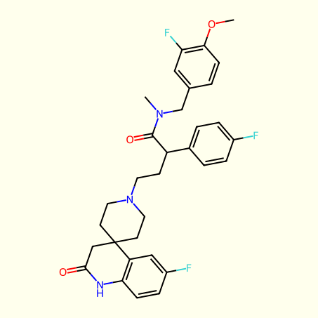 COc1ccc(CN(C)C(=O)C(CCN2CCC3(CC2)CC(=O)Nc2ccc(F)cc23)c2ccc(F)cc2)cc1F